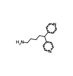 NCC[CH]CC(c1ccncc1)c1ccncc1